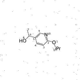 CC(C)Oc1ccc(C(C)O)cn1